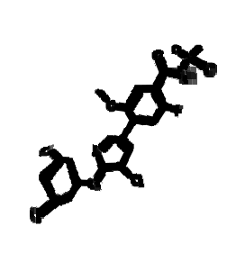 COc1cc(C(=O)NS(C)(=O)=O)c(F)cc1-c1cnc(Oc2cc(Cl)cc(Cl)c2)c(Cl)c1